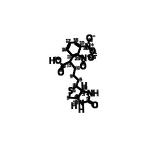 O=C1N[C@H]2[C@H](CS[C@H]2CCCC(C(=O)O)c2cccc([N+](=O)[O-])c2[N+](=O)[O-])N1